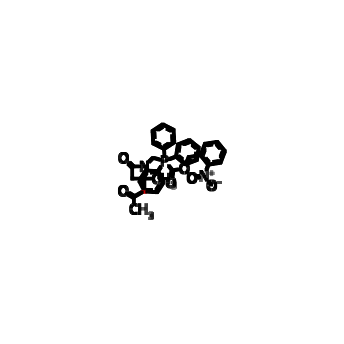 CC(=O)CC1(C)CC(=O)N1CP(C(=O)OCc1ccccc1[N+](=O)[O-])(c1ccccc1)(c1ccccc1)c1ccccc1